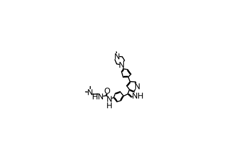 CN(C)CCNC(=O)Nc1ccc(-c2c[nH]c3ncc(-c4ccc(N5CCN(C)CC5)cc4)cc23)cc1